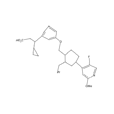 COc1cc(C2CCC(COc3cccc(C(CC(=O)O)C4CC4)c3)C(CC(C)C)C2)c(F)cn1